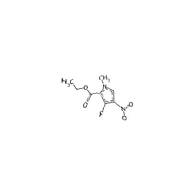 CCOC(=O)c1c(F)c([N+](=O)[O-])cn1C